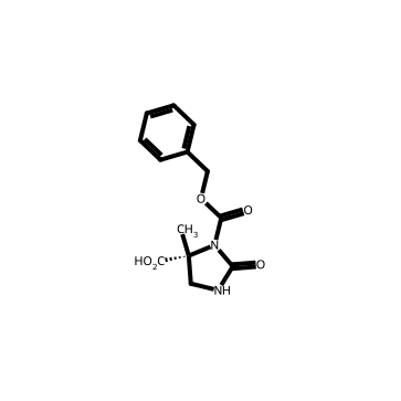 C[C@]1(C(=O)O)CNC(=O)N1C(=O)OCc1ccccc1